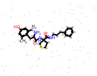 Cc1cc(O)cc(C)c1CC(N)C(=O)NC1(C(=O)NCCCc2ccccc2)CCSC1